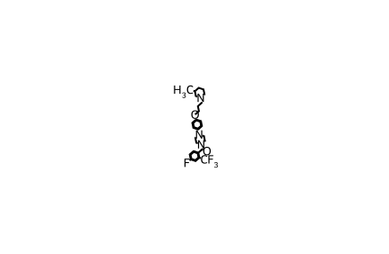 CC1CCCN(CCCOc2ccc(N3CCN(C(=O)c4ccc(F)cc4C(F)(F)F)CC3)cc2)C1